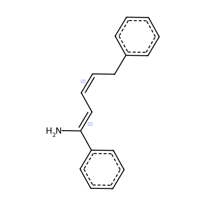 N/C(=C\C=C/Cc1ccccc1)c1ccccc1